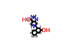 Oc1cc(-c2cc3ncnc(O)c3cn2)c2ccccc2c1